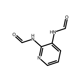 O=CNc1cccnc1NC=O